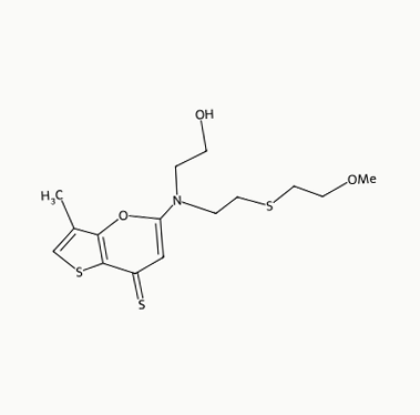 COCCSCCN(CCO)c1cc(=S)c2scc(C)c2o1